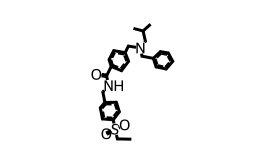 CCS(=O)(=O)c1ccc(CNC(=O)c2ccc(CN(Cc3ccccc3)CC(C)C)cc2)cc1